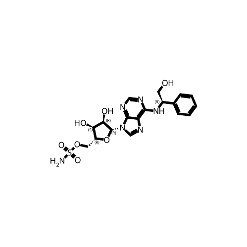 NS(=O)(=O)OC[C@H]1O[C@@H](n2cnc3c(N[C@@H](CO)c4ccccc4)ncnc32)[C@H](O)[C@@H]1O